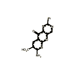 CC(C)c1ncc2oc3nc(N)c(C(=O)O)cc3c(=O)c2n1